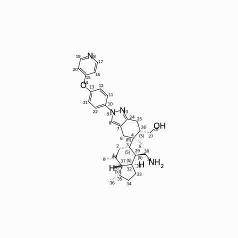 C[C@@H]1C[C@H]([C@@]2(C)Cc3cn(-c4ccc(Oc5ccncc5)cc4)nc3C[C@@H]2CO)[C@@H](CN)[C@H]2CC[C@H](C)[C@@H]21